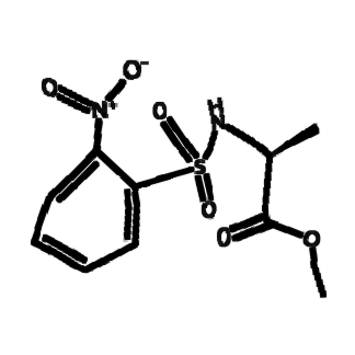 COC(=O)[C@H](C)NS(=O)(=O)c1ccccc1[N+](=O)[O-]